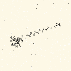 CCCCCCCCCCCCCCCCCC(=O)O[C@H]1C[C@H]2CC[C@@]1(C)C2(C)C